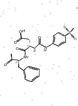 CC(=O)[C@H](Cc1ccccc1)NC(=O)[C@H](CC(=O)O)NC(=O)Nc1ccc(S(C)(=O)=O)cc1